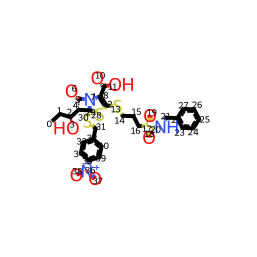 CC[C@H](O)[C@@H]1C(=O)N2C(C(=O)O)=C(SCCCS(=O)(=O)NCc3ccccc3)S[C@]12SCc1ccc([N+](=O)[O-])cc1